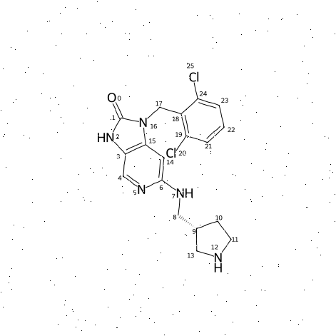 O=c1[nH]c2cnc(NC[C@@H]3CCNC3)cc2n1Cc1c(Cl)cccc1Cl